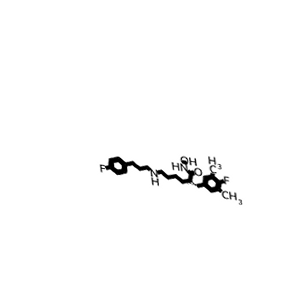 Cc1cc(C[C@H](CCCCNCCCc2ccc(F)cc2)C(=O)NO)cc(C)c1F